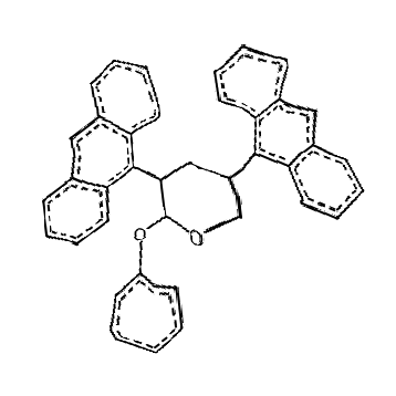 c1ccc(OC2OCC(c3c4ccccc4cc4ccccc34)CC2c2c3ccccc3cc3ccccc23)cc1